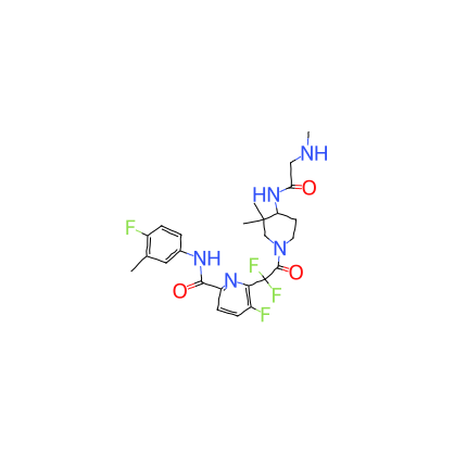 CNCC(=O)NC1CCN(C(=O)C(F)(F)c2nc(C(=O)Nc3ccc(F)c(C)c3)ccc2F)CC1(C)C